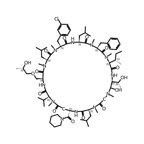 CC[C@H](C)[C@H]1C(=O)N[C@@H]([C@@H](C)O)C(O)N(C)CC(=O)N(C)[C@@H](CC(C)C)C(=O)N[C@H](C(=O)N2CCCCC2)CC(=O)N(C)[C@@H](C(C)C)C(=O)N[C@@H](COC[C@H](C)O)C(=O)N(C)[C@@H](CC(C)C)C(=O)N(C)[C@@H](Cc2cccc(Cl)c2)C(=O)N[C@@H](CC(C)C)C(=O)N(C)[C@@H](Cc2ccccc2)C(=O)N1C